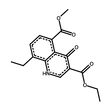 CCOC(=O)c1c[nH]c2c(CC)ccc(C(=O)OC)c2c1=O